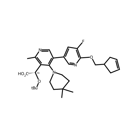 Cc1ncc(-c2cnc(OCC3CC=CC3)c(F)c2)c(N2CCC(C)(C)CC2)c1[C@H](OC(C)(C)C)C(=O)O